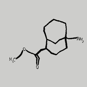 COC(=O)C1CCC2(N)CCCC1C2